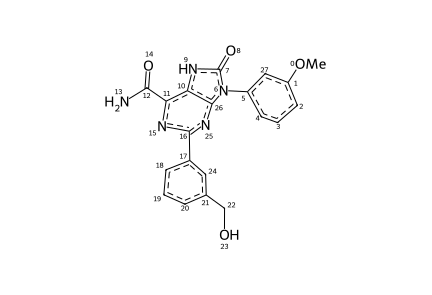 COc1cccc(-n2c(=O)[nH]c3c(C(N)=O)nc(-c4cccc(CO)c4)nc32)c1